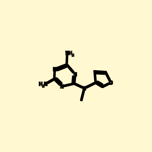 CN(c1ccoc1)c1nc(N)nc(N)n1